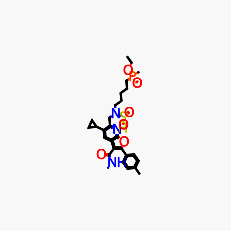 CCOP(C)(=O)CCCCCN(Cc1nc2oc(-c3ccc(C)cc3)c(C(=O)NC)c2cc1C1CC1)[SH](=O)=O